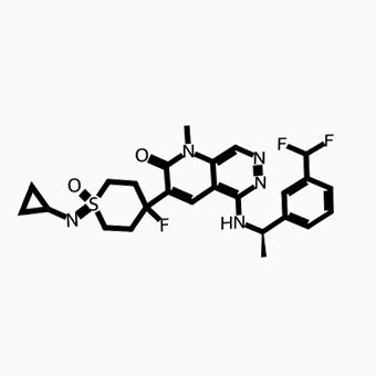 C[C@@H](Nc1nncc2c1cc(C1(F)CCS(=O)(=NC3CC3)CC1)c(=O)n2C)c1cccc(C(F)F)c1